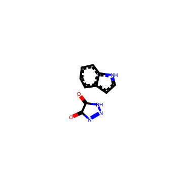 O=C1N=NNC1=O.c1ccc2[nH]ccc2c1